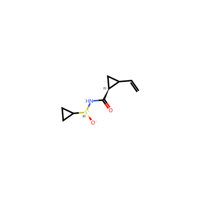 C=CC1C[C@@H]1C(=O)N[S@@+]([O-])C1CC1